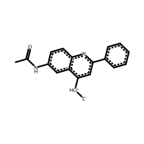 [CH2-][OH+]c1cc(-c2ccccc2)nc2ccc(NC(C)=O)cc12